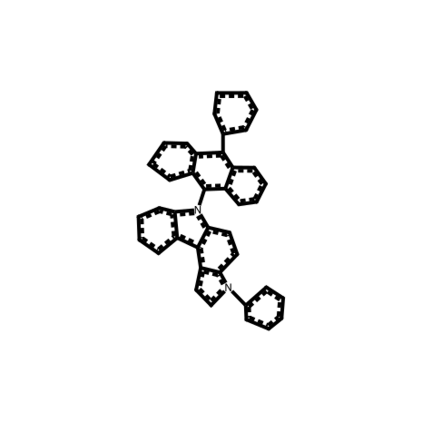 c1ccc(-c2c3ccccc3c(-n3c4ccccc4c4c5ccn(-c6ccccc6)c5ccc43)c3ccccc23)cc1